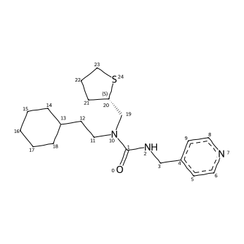 O=C(NCc1ccncc1)N(CCC1CCCCC1)C[C@@H]1CCCS1